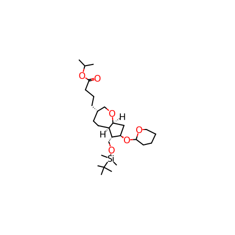 CC(C)OC(=O)CCC[C@H]1CC[C@@H]2[C@@H](CO[Si](C)(C)C(C)(C)C)[C@H](OC3CCCCO3)C[C@@H]2OC1